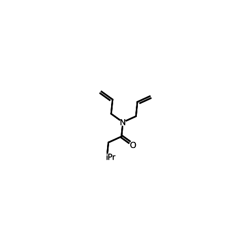 C=CCN(CC=C)C(=O)CC(C)C